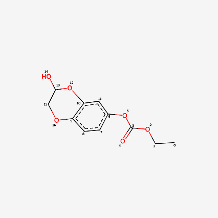 CCOC(=O)Oc1ccc2c(c1)OC(O)CO2